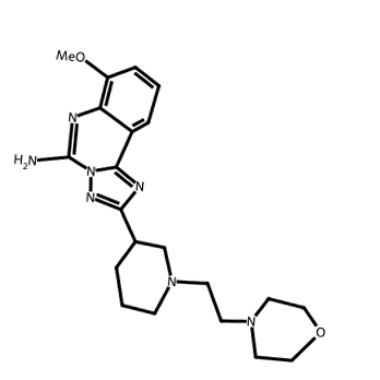 COc1cccc2c1nc(N)n1nc(C3CCCN(CCN4CCOCC4)C3)nc21